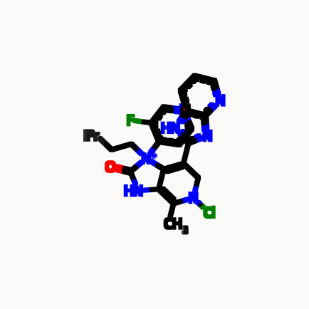 CC1=C2NC(=O)[N+](CCC(C)C)(c3ccncc3F)C2=C(c2nc3ncccc3[nH]2)CN1Cl